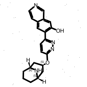 Oc1cc2cnccc2cc1-c1ccc(O[C@@H]2C[C@H]3CCC[C@@H](C2)N3)nn1